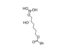 CC(C)C(=O)OCCCC[C@H](O)CON(O)O